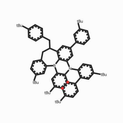 CC(C)(C)c1ccc(CC2Cc3ccc(C(C)(C)C)cc3B3c4cc(C(C)(C)C)ccc4N(c4ccc(C(C)(C)C)cc4-c4ccc(C(C)(C)C)cc4)c4cc(-c5cccc(C(C)(C)C)c5)cc2c43)cc1